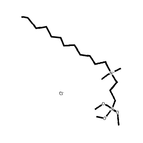 CCCCCCCCCCCC[N+](C)(C)CCC[Si](OC)(OC)OC.[Cl-]